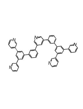 c1cncc(-c2cc(-c3cccnc3)cc(-c3cccc(-c4cncc(-c5cccc(-c6cc(-c7cccnc7)cc(-c7cccnc7)c6)c5)c4)c3)c2)c1